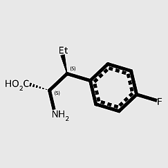 CC[C@@H](c1ccc(F)cc1)[C@H](N)C(=O)O